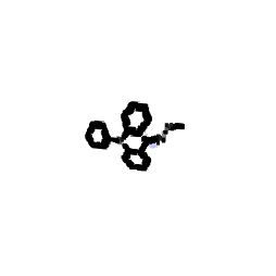 C=N/N=C(\C)c1ccccc1P(c1ccccc1)c1ccccc1